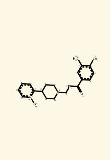 Cc1ccc(C(=O)NCN2CCC(c3cccc[n+]3[O-])CC2)cc1C